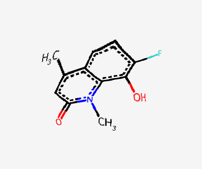 Cc1cc(=O)n(C)c2c(O)c(F)ccc12